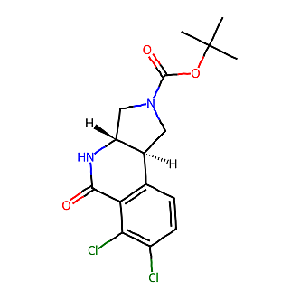 CC(C)(C)OC(=O)N1C[C@H]2NC(=O)c3c(ccc(Cl)c3Cl)[C@@H]2C1